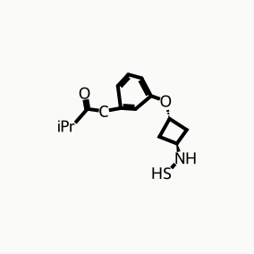 CC(C)C(=O)Cc1cccc(O[C@H]2C[C@H](NS)C2)c1